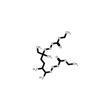 CCOC(=O)OOOC(C)C(C)CCC(C)(CC)OOOC(=O)OCC